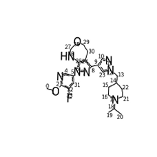 COc1ncc(-n2nc(-c3cnn(CC4CCN(C(C)C)CC4)c3)c3c2NCOCC3)cc1F